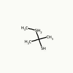 C[SiH2]C(C)(C)S